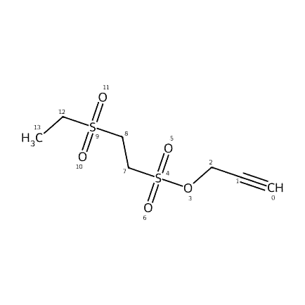 C#CCOS(=O)(=O)CCS(=O)(=O)CC